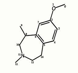 COc1ccc2c(c1)C(C)CN(C)CC2